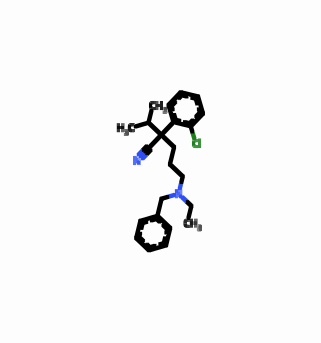 CCN(CCCC(C#N)(c1ccccc1Cl)C(C)C)Cc1ccccc1